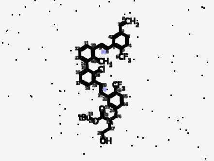 C=Cc1ccc(C(F)(F)F)c(/C=C/c2cccc(-c3cccc(/C=C/c4cc(CN(CCO)C(=O)OC(C)(C)C)ccc4C(F)(F)F)c3Cl)c2C)c1